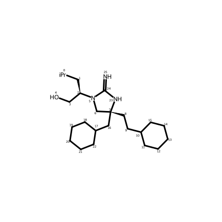 CC(C)C[C@H](CO)N1C[C@@](CCC2CCCCC2)(CC2CCCCC2)NC1=N